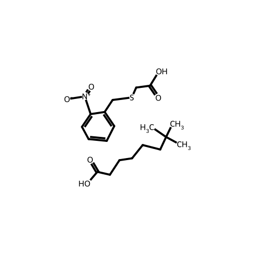 CC(C)(C)CCCCCC(=O)O.O=C(O)CSCc1ccccc1[N+](=O)[O-]